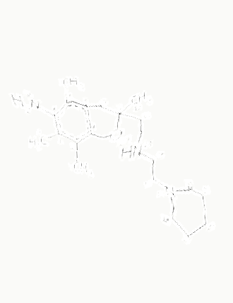 Cc1c(C)c2c(c(C)c1N)CC(C)(CNCCN1CCCCC1)O2